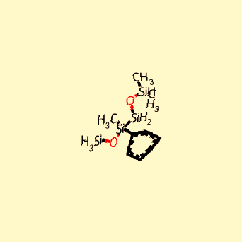 C[SiH](C)O[SiH2][Si](C)(O[SiH3])c1ccccc1